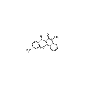 Cn1c(=O)c(C(=O)c2ccc(C(F)(F)F)cc2)c(O)c2ccccc21